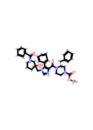 CC(C)(C)OC(=O)N1CCN(C(=O)c2ncn(CC3(O)CCCN(C(=O)c4ccccc4)C3)c2-c2ccccc2)[C@H](Cc2ccccc2)C1